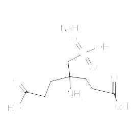 NC(CCC(=O)O)(CCC(=O)O)CS(=O)(=O)O.[NaH]